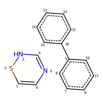 C1=CSNC=N1.c1ccc(-c2ccccc2)cc1